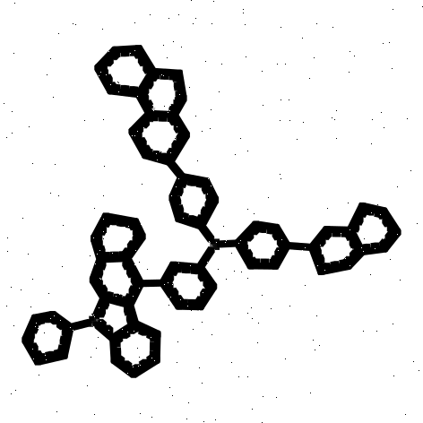 c1ccc(-n2c3ccccc3c3c(-c4cccc(N(c5ccc(-c6ccc7ccccc7c6)cc5)c5ccc(-c6ccc7c(ccc8ccccc87)c6)cc5)c4)c4ccccc4cc32)cc1